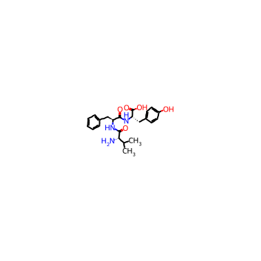 CC(C)[C@H](N)C(=O)N[C@@H](Cc1ccccc1)C(=O)N[C@@H](Cc1ccc(O)cc1)C(=O)O